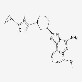 COc1cccc2c1nc(N)n1nc([C@@H]3CCCN(c4cnc(C5CC5)n4C)C3)nc21